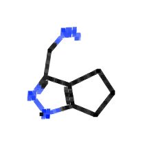 NCC1=N[N]C2=C1CCC2